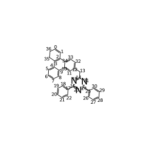 C1=Cc2c(c3ccccc3c3cc(Cc4nc(-c5ccccc5)nc(-c5ccccc5)n4)ccc23)CC1